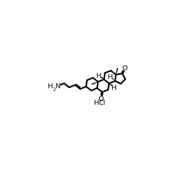 C[C@]12CCC(C=CCCN)CC1C(=O)C[C@@H]1[C@H]2CC[C@]2(C)C(=O)CC[C@@H]12.Cl